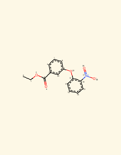 CCOC(=O)c1cccc(Oc2ccccc2[N+](=O)[O-])c1